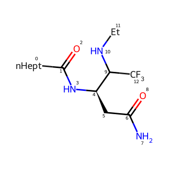 CCCCCCCC(=O)N[C@H](CC(N)=O)C(NCC)C(F)(F)F